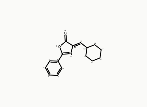 O=C1OC(c2ccccc2)=NC1=CC1CCCCC1